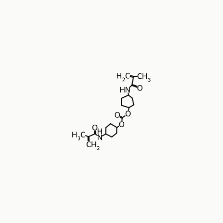 C=C(C)C(=O)NC1CCC(OC(=O)OC2CCC(NC(=O)C(=C)C)CC2)CC1